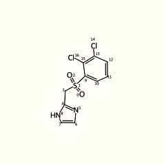 O=S(=O)(Cc1ncc[nH]1)c1cccc(Cl)c1Cl